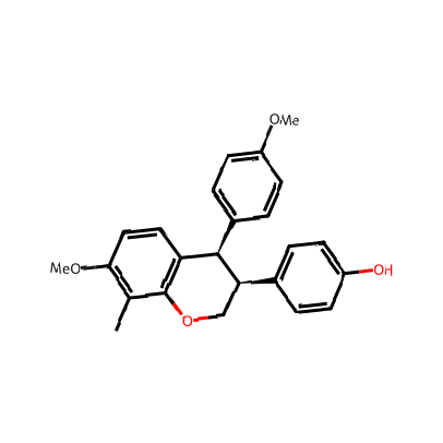 COc1ccc([C@@H]2c3ccc(OC)c(C)c3OC[C@@H]2c2ccc(O)cc2)cc1